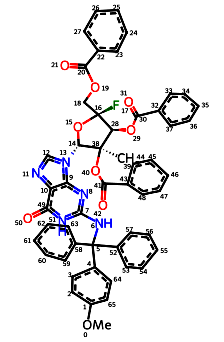 COc1ccc(C(Nc2nc3c(ncn3[C@@H]3O[C@](F)(COC(=O)c4ccccc4)[C@@H](OC(=O)c4ccccc4)[C@@]3(C)OC(=O)c3ccccc3)c(=O)[nH]2)(c2ccccc2)c2ccccc2)cc1